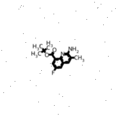 Cc1cc2cc(F)cc(C(=O)OC(C)(C)C)c2nc1N